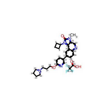 Cn1c(=O)n(C2CCC2)c2c3cc(-c4ccc(OCCCN5CCCC5)nc4)ccc3ncc21.O=C(O)C(F)(F)F